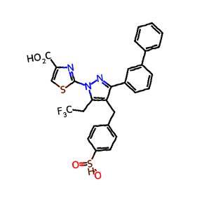 O=C(O)c1csc(-n2nc(-c3cccc(-c4ccccc4)c3)c(Cc3ccc([SH](=O)=O)cc3)c2CC(F)(F)F)n1